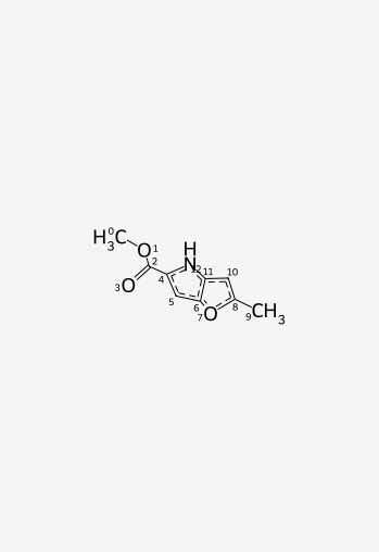 COC(=O)c1cc2oc(C)cc2[nH]1